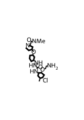 CNC(=O)c1cc(Oc2cccc(NNC(=O)Nc3cc(C)c(Cl)cc3OCCN)c2)ccn1